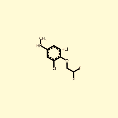 CNc1ccc(OCC(F)F)c(Cl)c1.Cl